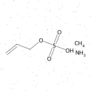 C.C=CCOS(=O)(=O)O.N